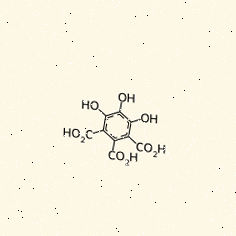 O=C(O)c1c(O)c(O)c(O)c(C(=O)O)c1C(=O)O